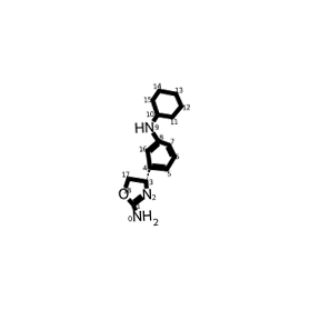 NC1=N[C@@H](c2cccc(NC3CCCCC3)c2)CO1